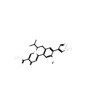 COc1cc2c(cc1-c1cn[nH]c1)CC(C(C)C)n1cc(C(=O)O)c(=O)cc1-2